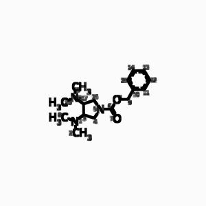 CN(C)C1CN(C(=O)OCc2ccccc2)CC1N(C)C